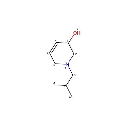 C[C](C)CN1CC=CC(O)C1